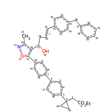 CCOC(=O)CC1(c2ccc(-c3ccc(-c4onc(C)c4C(O)C/C=C/c4ccc(Cc5ccccc5)cc4)cc3)cc2)CC1